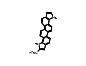 CCCCCCCCCCc1cc2ccc3c4ccc5c(ccc6ccn(C)c65)c4ccc3c2n1C